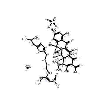 CN(C)[C@@H]1C(O)=C(C(N)=O)C(=O)[C@@]2(O)C(O)=C3C(=O)c4c(O)cccc4[C@@](C)(O)[C@H]3[C@H](O)[C@@H]12.CN/C(=C/[N+](=O)[O-])NCCSCc1ccc(CN(C)C)o1.O.O.O=S(=O)([O-])[O-].[Zn+2]